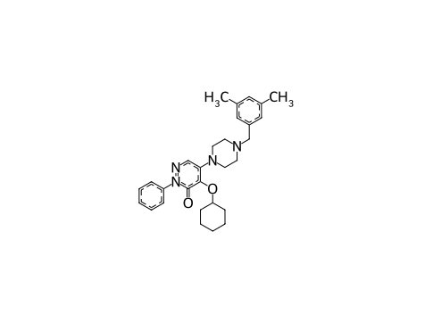 Cc1cc(C)cc(CN2CCN(c3cnn(-c4ccccc4)c(=O)c3OC3CCCCC3)CC2)c1